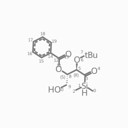 C[SiH](C)C(=O)[C@H](OC(C)(C)C)[C@H](CO)OC(=O)c1ccccc1